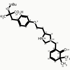 CCCCOC(C)(Cc1ccc(OCCC2CN(CC3=CC=CC(C)(C(F)(F)F)C3=O)CN2)cc1)C(=O)O